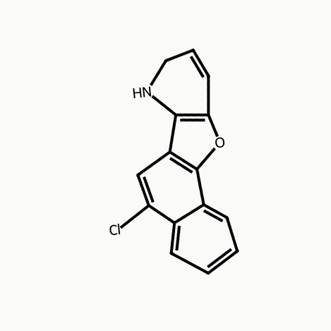 Clc1cc2c3c(oc2c2ccccc12)C=CCN3